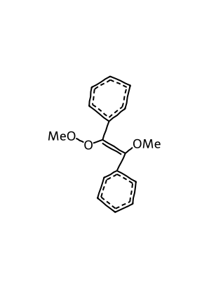 COOC(=C(OC)c1ccccc1)c1ccccc1